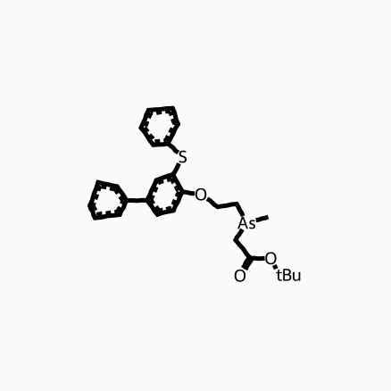 C[As](CCOc1ccc(-c2ccccc2)cc1Sc1ccccc1)CC(=O)OC(C)(C)C